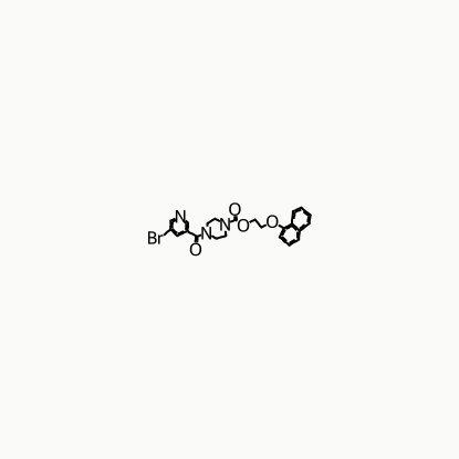 O=C(OCCOc1cccc2ccccc12)N1CCN(C(=O)c2cncc(Br)c2)CC1